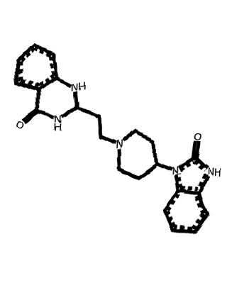 O=C1NC(CCN2CCC(n3c(=O)[nH]c4ccccc43)CC2)Nc2ccccc21